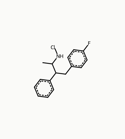 CC(NCl)C(Cc1ccc(F)cc1)c1ccccc1